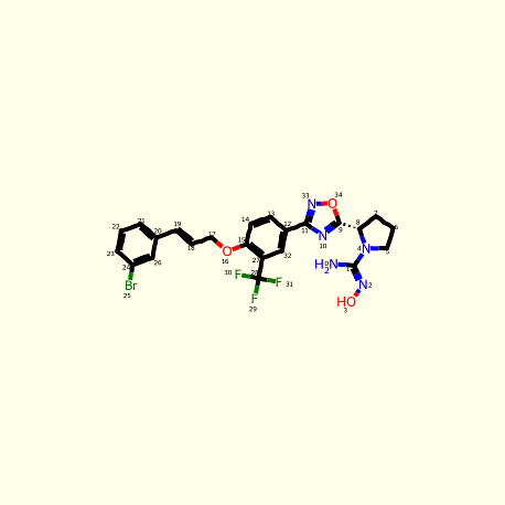 N/C(=N\O)N1CCC[C@H]1c1nc(-c2ccc(OC/C=C/c3cccc(Br)c3)c(C(F)(F)F)c2)no1